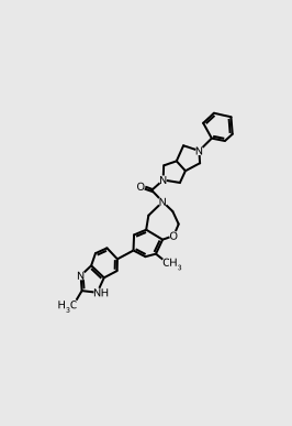 Cc1nc2ccc(-c3cc(C)c4c(c3)CN(C(=O)N3CC5CN(c6ccccc6)CC5C3)CCO4)cc2[nH]1